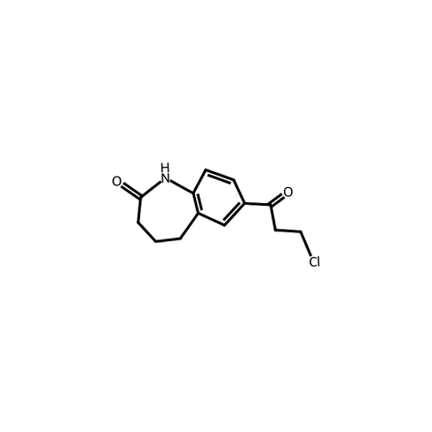 O=C1CCCc2cc(C(=O)CCCl)ccc2N1